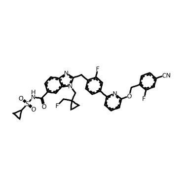 N#Cc1ccc(COc2cccc(-c3ccc(Cc4nc5ccc(C(=O)NS(=O)(=O)C6CC6)cc5n4CC4(CF)CC4)c(F)c3)n2)c(F)c1